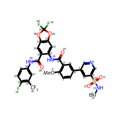 COc1ccc(-c2cncc(S(=O)(=O)NC(C)(C)C)c2)cc1C(=O)Nc1cc2c(cc1C(=O)Nc1ccc(F)c(C(F)(F)F)c1)OC(F)(F)O2